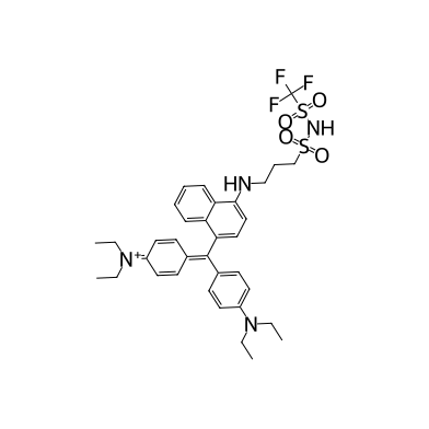 CCN(CC)c1ccc(C(=C2C=CC(=[N+](CC)CC)C=C2)c2ccc(NCCCS(=O)(=O)NS(=O)(=O)C(F)(F)F)c3ccccc23)cc1